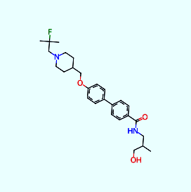 CC(CO)CNC(=O)c1ccc(-c2ccc(OCC3CCN(CC(C)(C)F)CC3)cc2)cc1